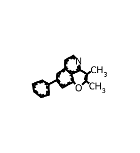 CC1=C(C)c2nccc3cc(-c4ccccc4)cc(c23)O1